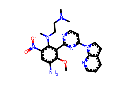 COc1c(N)cc([N+](=O)[O-])c(N(C)CCN(C)C)c1-c1nccc(-n2ccc3cccnc32)n1